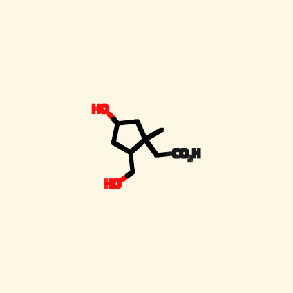 CC1(CC(=O)O)CC(O)CC1CO